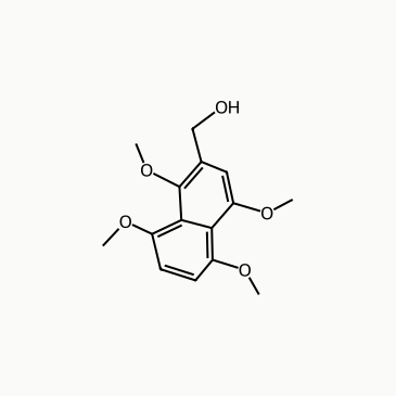 COc1ccc(OC)c2c(OC)c(CO)cc(OC)c12